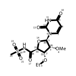 CCO[C@H]1[C@@H](OC)[C@H](n2ccc(=O)[nH]c2=O)O[C@@H]1C(=O)NS(C)(=O)=O